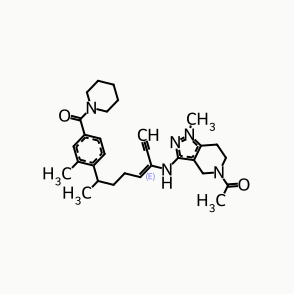 C#C/C(=C\CCC(C)c1ccc(C(=O)N2CCCCC2)cc1C)Nc1nn(C)c2c1CN(C(C)=O)CC2